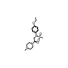 CCOc1ccc(N(CC(=O)N2CCN(C)CC2)S(C)(=O)=O)cc1